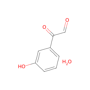 O.O=CC(=O)c1cccc(O)c1